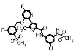 Cc1sc(C(=O)Nc2cc(Cl)cc(NS(C)(=O)=O)c2)cc1-c1ncc(F)cc1OCc1cc(F)cc(S(C)(=O)=O)c1